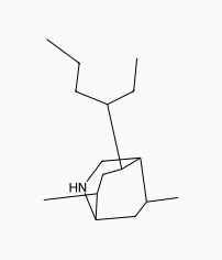 CCCC(CC)C1CC(C)C2CC(C)C1CN2